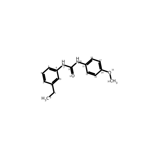 CCc1cccc(NC(=O)Nc2ccc(OC)cc2)c1